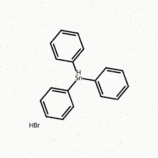 Br.c1cc[c]([SnH]([c]2ccccc2)[c]2ccccc2)cc1